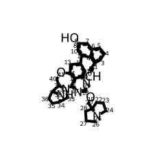 C#Cc1cccc2cc(O)cc(-c3cc4c5c(nc(OCC67CCCN6CCC7)nc5c3)N3CC5CCC(N5)C3CO4)c12